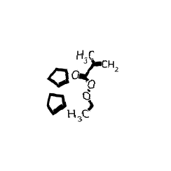 C1=CCCC1.C1=CCCC1.C=C(C)C(=O)OOCC